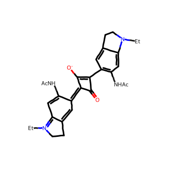 CCN1CCc2cc(C3=C([O-])/C(=c4/cc5c(cc4NC(C)=O)=[N+](CC)CC5)C3=O)c(NC(C)=O)cc21